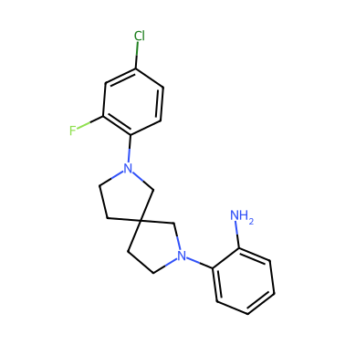 Nc1ccccc1N1CCC2(CCN(c3ccc(Cl)cc3F)C2)C1